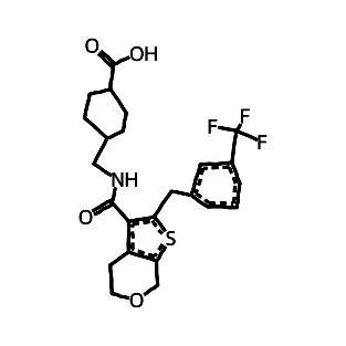 O=C(NCC1CCC(C(=O)O)CC1)c1c(Cc2cccc(C(F)(F)F)c2)sc2c1CCOC2